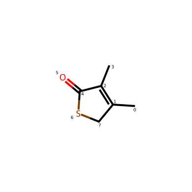 CC1=C(C)C(=O)SC1